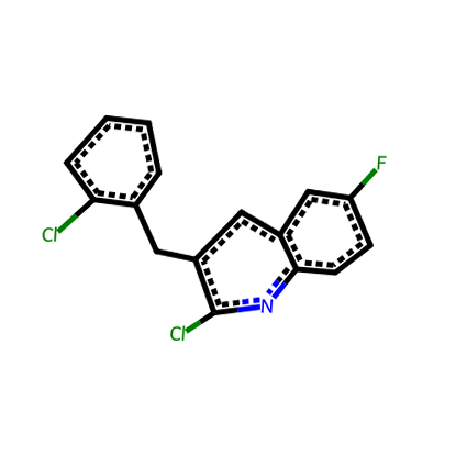 Fc1ccc2nc(Cl)c(Cc3ccccc3Cl)cc2c1